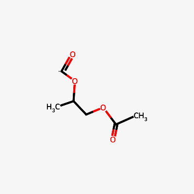 CC(=O)OCC(C)O[C]=O